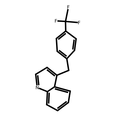 FC(F)(F)c1ccc(Cc2ccnc3ccccc23)cc1